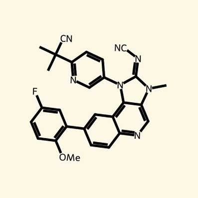 COc1ccc(F)cc1-c1ccc2ncc3c(c2c1)n(-c1ccc(C(C)(C)C#N)nc1)/c(=N\C#N)n3C